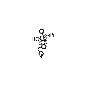 CC(C)CCC1(c2ccccc2)CC(O)=C(Sc2ccccc2CCc2cccnc2)C(=O)O1